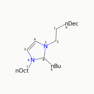 CCCCCCCCCCCCN1C=CN(CCCCCCCC)C1CCCC